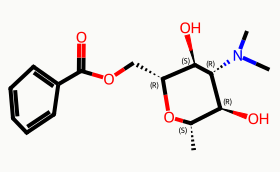 C[C@@H]1O[C@H](COC(=O)c2ccccc2)[C@@H](O)[C@H](N(C)C)[C@H]1O